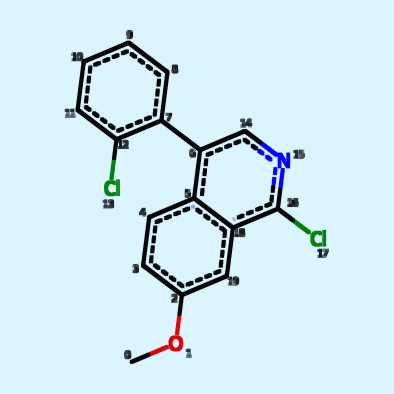 COc1ccc2c(-c3ccccc3Cl)cnc(Cl)c2c1